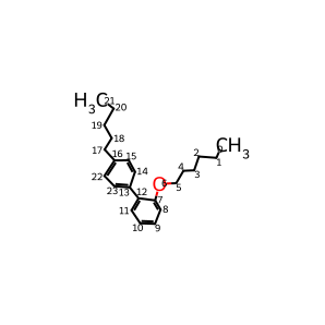 CCCCCCOc1ccccc1-c1ccc(CCCCC)cc1